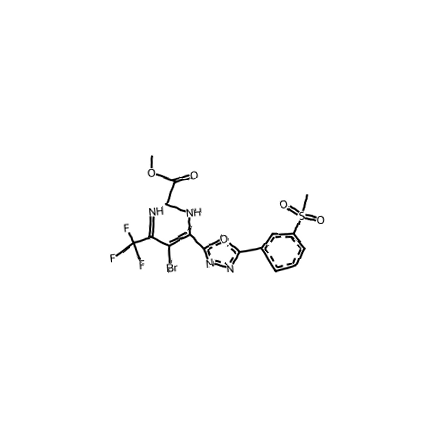 COC(=O)CN/C(=C(/Br)C(=N)C(F)(F)F)c1nnc(-c2cccc(S(C)(=O)=O)c2)o1